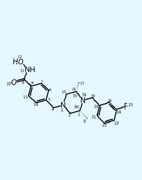 C[C@@H]1CN(Cc2ccc(C(=O)NO)cc2)C[C@H](C)N1Cc1cccc(F)c1